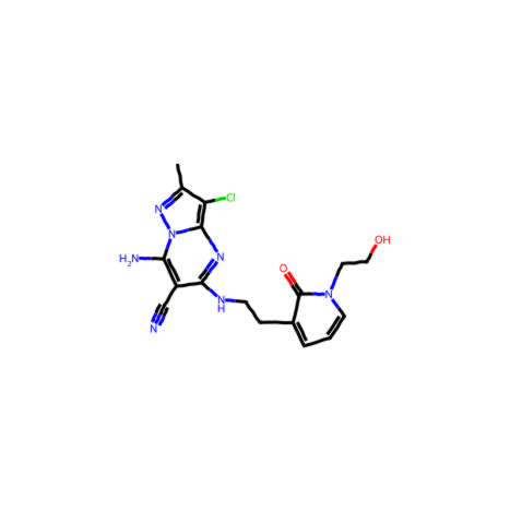 Cc1nn2c(N)c(C#N)c(NCCc3cccn(CCO)c3=O)nc2c1Cl